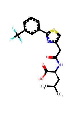 CC(C)C[C@H](NC(=O)Cc1csc(-c2cccc(C(F)(F)F)c2)n1)C(=O)O